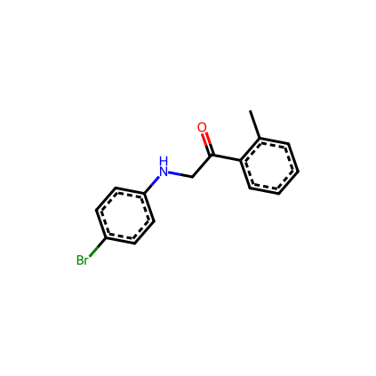 Cc1ccccc1C(=O)CNc1ccc(Br)cc1